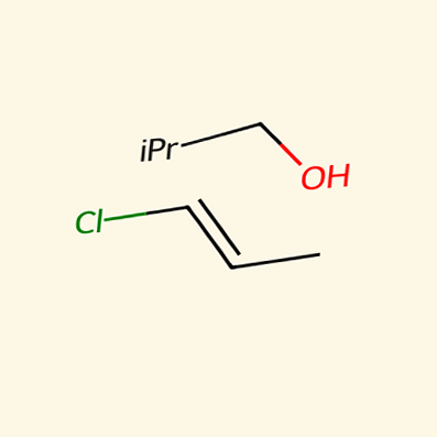 CC(C)CO.CC=CCl